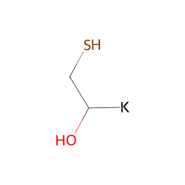 O[CH]([K])CS